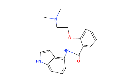 CN(C)CCOc1ccccc1C(=O)Nc1cccc2[nH]ccc12